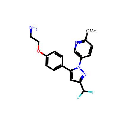 COc1ccc(-n2nc(C(F)F)cc2-c2ccc(OCCN)cc2)cn1